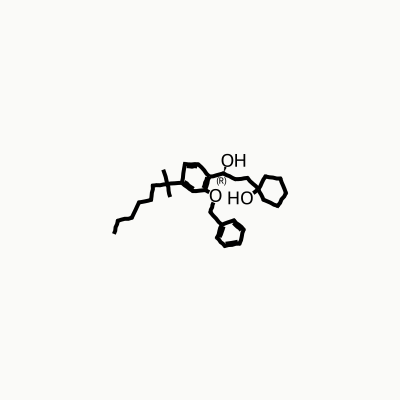 CCCCCCC(C)(C)c1ccc([C@H](O)CCC2(O)CCCCC2)c(OCc2ccccc2)c1